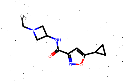 O=C(NC1CN(CC(F)(F)F)C1)c1cc(C2CC2)on1